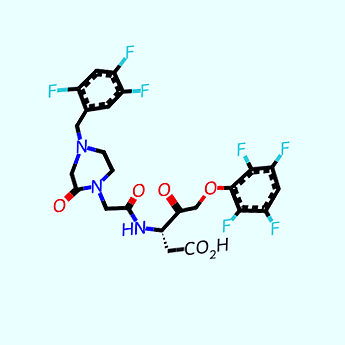 O=C(O)C[C@H](NC(=O)CN1CCN(Cc2cc(F)c(F)cc2F)CC1=O)C(=O)COc1c(F)c(F)cc(F)c1F